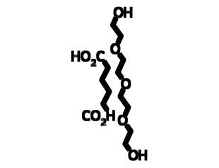 O=C(O)CCCCC(=O)O.OCCOCCOCCOCCO